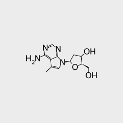 Cc1cn([C@H]2CC(O)[C@@H](CO)O2)c2ncnc(N)c12